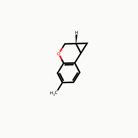 Cc1ccc2c(c1)OC[C@@H]1CC21